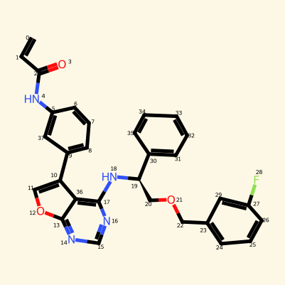 C=CC(=O)Nc1cccc(-c2coc3ncnc(N[C@H](COCc4cccc(F)c4)c4ccccc4)c23)c1